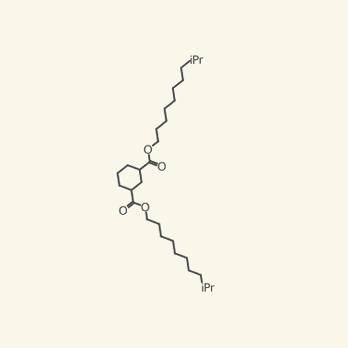 CC(C)CCCCCCCCOC(=O)C1CCCC(C(=O)OCCCCCCCCC(C)C)C1